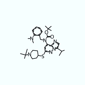 CC(C)c1cnc2c(N(Cc3ccccc3N(C)C)C(=O)OC(C)(C)C)cc(SC3CCN(C(C)(C)C)CC3)nn12